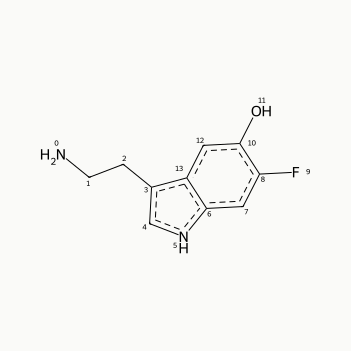 NCCc1c[nH]c2cc(F)c(O)cc12